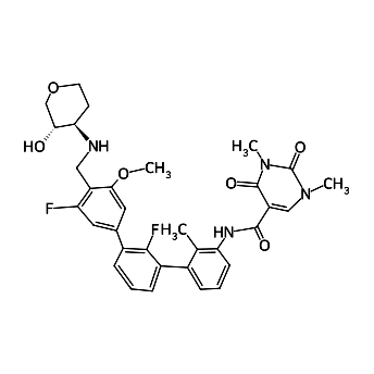 COc1cc(-c2cccc(-c3cccc(NC(=O)c4cn(C)c(=O)n(C)c4=O)c3C)c2F)cc(F)c1CN[C@@H]1CCOC[C@H]1O